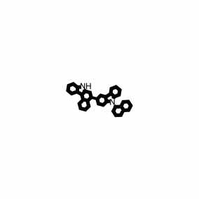 c1ccc2c(-n3c4ccccc4c4cc(-c5cc6[nH]c7ccccc7c6c6ccccc56)ccc43)cccc2c1